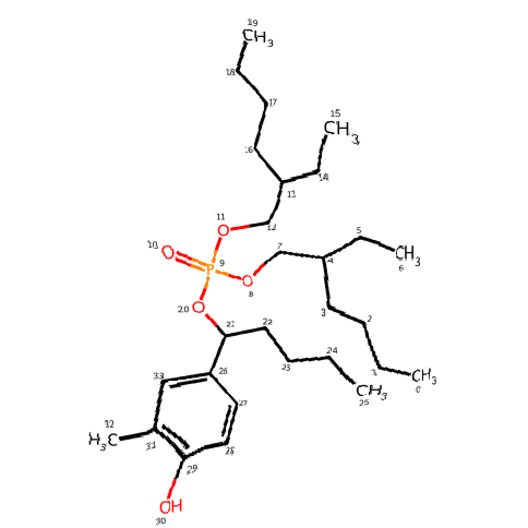 CCCCC(CC)COP(=O)(OCC(CC)CCCC)OC(CCCC)c1ccc(O)c(C)c1